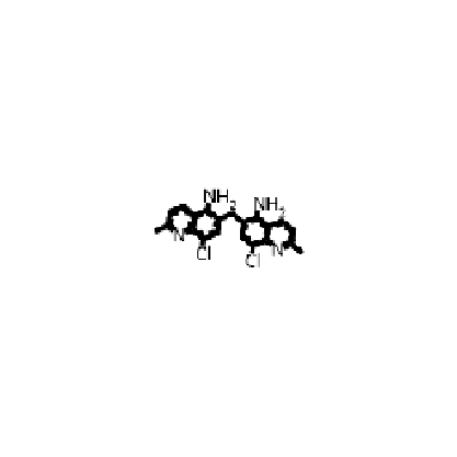 Cc1ccc2c(N)c(Cc3cc(Cl)c4nc(C)ccc4c3N)cc(Cl)c2n1